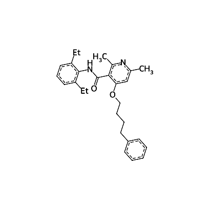 CCc1cccc(CC)c1NC(=O)c1c(OCCCCc2ccccc2)cc(C)nc1C